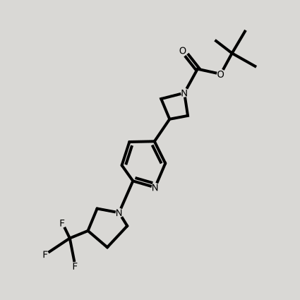 CC(C)(C)OC(=O)N1CC(c2ccc(N3CCC(C(F)(F)F)C3)nc2)C1